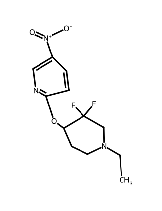 CCN1CCC(Oc2ccc([N+](=O)[O-])cn2)C(F)(F)C1